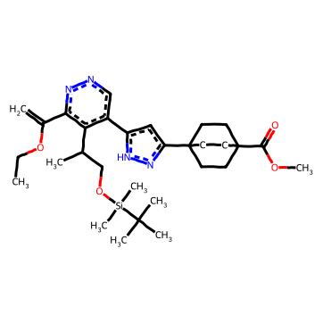 C=C(OCC)c1nncc(-c2cc(C34CCC(C(=O)OC)(CC3)CC4)n[nH]2)c1C(C)CO[Si](C)(C)C(C)(C)C